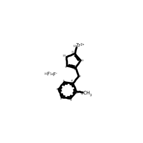 Cc1ccccc1CC1=CC[C]([Zr+2])=C1.[F-].[F-]